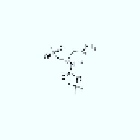 CC(C)(C)OC(=O)N1C[C@H](N)C[C@H]1CS(C)(=O)=O